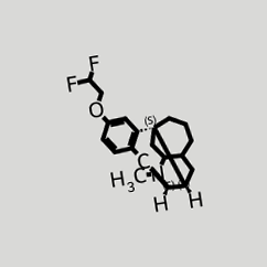 CN1C2C[C@@]34CCCC2C[C@@H]3[C@@H]1Cc1ccc(OCC(F)F)cc14